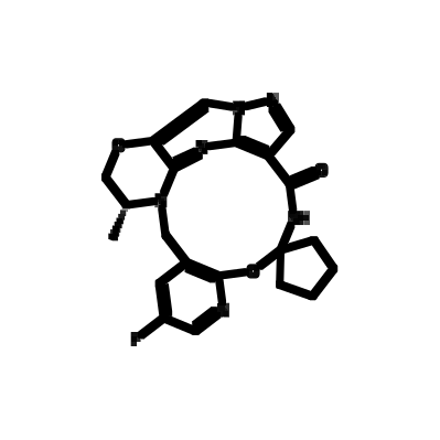 C[C@@H]1COc2cn3ncc4c3nc2N1Cc1cc(F)cnc1OC1(CCCC1)NC4=O